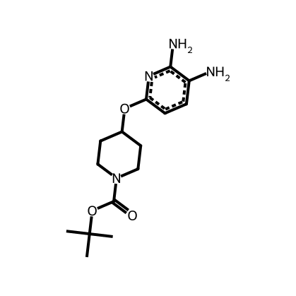 CC(C)(C)OC(=O)N1CCC(Oc2ccc(N)c(N)n2)CC1